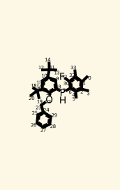 Cc1c(C)c(C)c(Pc2cc(C(C)(C)C)cc(C(C)(C)C)c2OCc2ccccc2)c(F)c1C